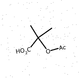 CC(=O)OC(C)(C)C(=O)O